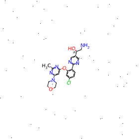 Cc1nc(Oc2cc(Cl)ccc2-c2ncc([C@@H](O)CN)cn2)cc(N2CCOCC2)n1